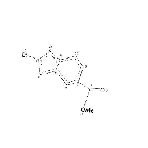 CCc1cc2cc(C(=O)OC)ccc2s1